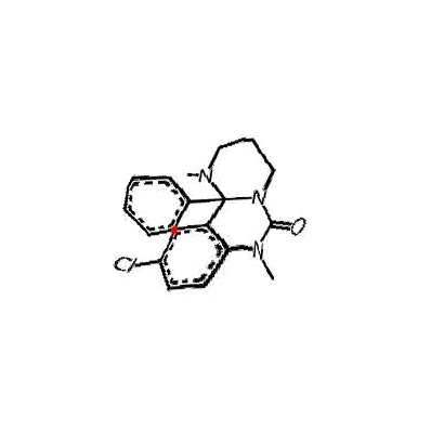 CN1C(=O)N2CCCN(C)C2(c2ccccc2)c2cc(Cl)ccc21